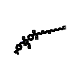 CN(C)c1ccc(/C=C2\N=C(C=O)N(C3CCC(C(=O)NCCOCCOCCCCCCCl)CC3)C2=O)cc1